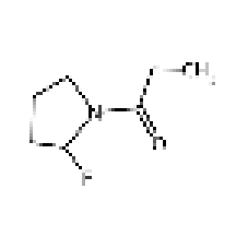 CCC(=O)N1CCCC1F